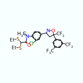 CCSC(SCC)C(=O)N(C)c1ccc(C2=NOC(c3cc(C(F)(F)F)cc(C(F)(F)F)c3)(C(F)(F)F)C2)cc1Cl